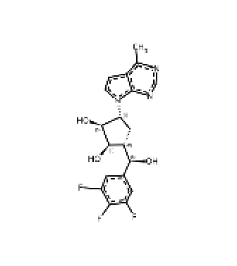 Cc1ncnc2c1ccn2[C@@H]1C[C@H]([C@@H](O)c2cc(F)c(F)c(F)c2)[C@@H](O)[C@H]1O